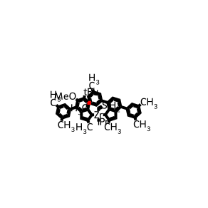 COc1c(C(C)(C)C)cc2c(c1-c1cc(C)cc(C)c1)C=C(C)[CH]2[Zr]([CH]=[SiH2])([CH](C)C)[CH]1C(C)=Cc2c(-c3cc(C)cc(C)c3)ccc(-c3cc(C)cc(C)c3)c21